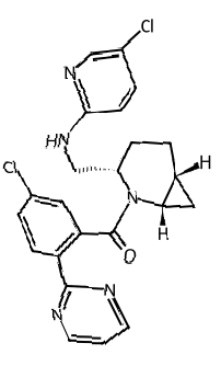 O=C(c1cc(Cl)ccc1-c1ncccn1)N1[C@H](CNc2ccc(Cl)cn2)CC[C@@H]2C[C@@H]21